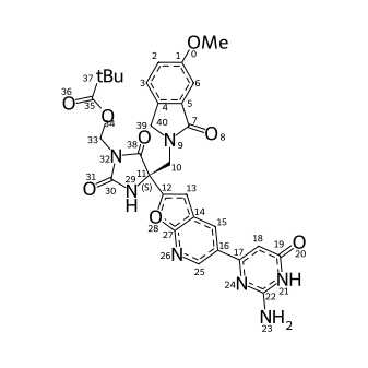 COc1ccc2c(c1)C(=O)N(C[C@@]1(c3cc4cc(-c5cc(=O)[nH]c(N)n5)cnc4o3)NC(=O)N(COC(=O)C(C)(C)C)C1=O)C2